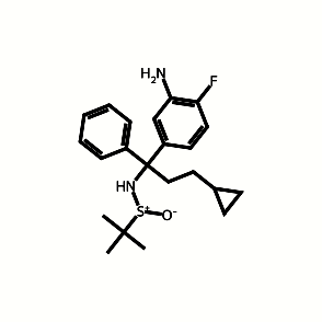 CC(C)(C)[S+]([O-])NC(CCC1CC1)(c1ccccc1)c1ccc(F)c(N)c1